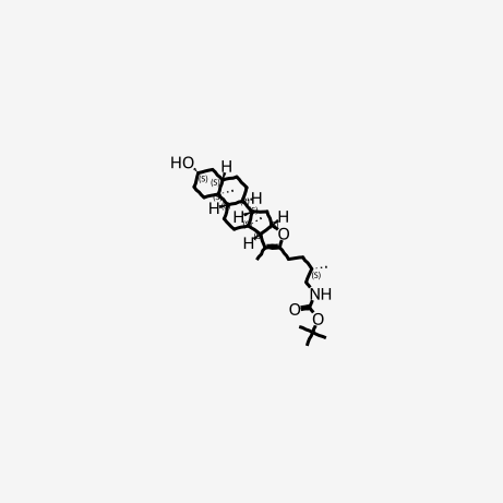 CC1=C(CC[C@H](C)CNC(=O)OC(C)(C)C)O[C@H]2C[C@H]3[C@@H]4CC[C@H]5C[C@@H](O)CC[C@]5(C)[C@H]4CC[C@]3(C)[C@@H]12